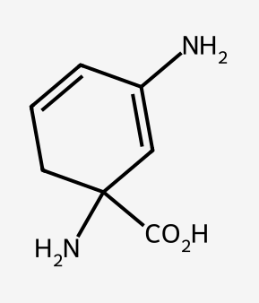 NC1=CC(N)(C(=O)O)CC=C1